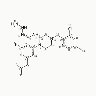 CC(C)Cc1cc(F)c(/C(N)=N/NN)c(N2CCN(Cc3ncc(F)cc3Cl)CC2)c1